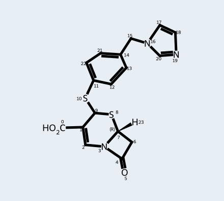 O=C(O)C1=CN2C(=O)C[C@H]2SC1Sc1ccc(Cn2ccnc2)cc1